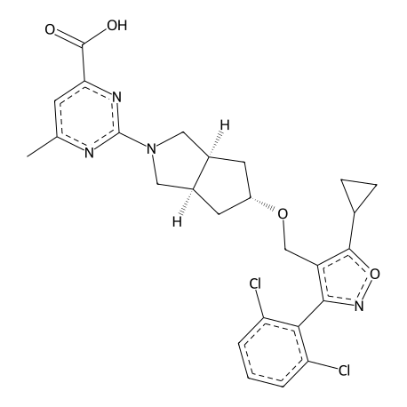 Cc1cc(C(=O)O)nc(N2C[C@H]3C[C@H](OCc4c(-c5c(Cl)cccc5Cl)noc4C4CC4)C[C@H]3C2)n1